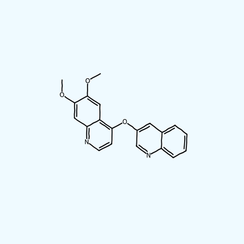 COc1cc2nccc(Oc3cnc4ccccc4c3)c2cc1OC